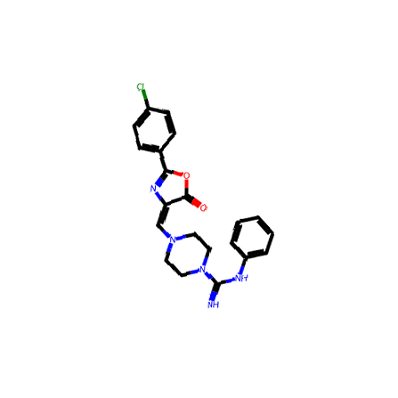 N=C(Nc1ccccc1)N1CCN(C=C2N=C(c3ccc(Cl)cc3)OC2=O)CC1